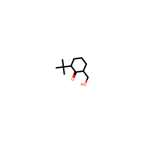 CC(C)(C)C1CCCC(CO)C1=O